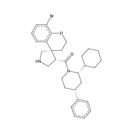 O=C([C@@H]1CNC[C@]12CCOc1c(Br)cccc12)N1CC[C@@H](c2ccccc2)C[C@H]1C1CCCCC1